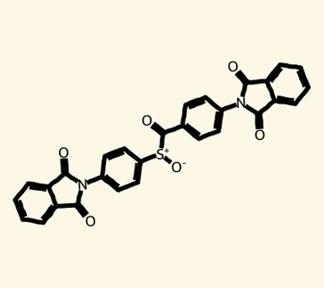 O=C1c2ccccc2C(=O)N1c1ccc(C(=O)[S+]([O-])c2ccc(N3C(=O)c4ccccc4C3=O)cc2)cc1